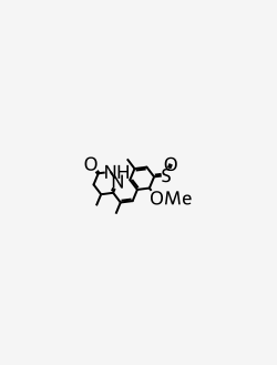 COC1C(C=C(C)C2=NNC(=O)CC2C)=CC(C)=CC1=S=O